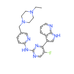 CCN1CCN(Cc2ccc(Nc3ncc(F)c(-c4c[nH]c5ncccc45)n3)nc2)CC1